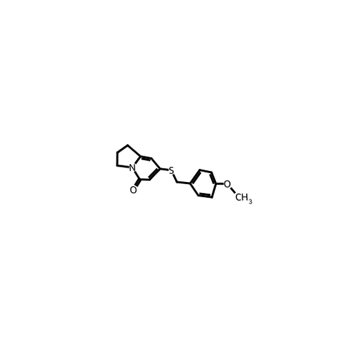 COc1ccc(CSc2cc3n(c(=O)c2)CCC3)cc1